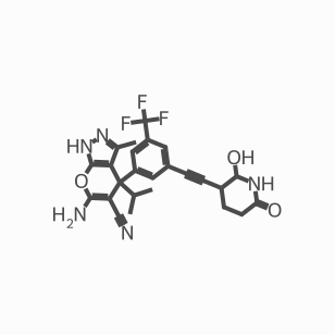 Cc1n[nH]c2c1C(c1cc(C#CC3CCC(=O)NC3O)cc(C(F)(F)F)c1)(C(C)C)C(C#N)=C(N)O2